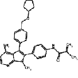 C=C(C)C(=O)Nc1ccc(-c2c(-c3ccc(COC4CCCC4)cc3)c3c(N)ncnc3n2C)cc1